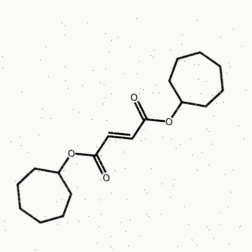 O=C(/C=C/C(=O)OC1CCCCCC1)OC1CCCCCC1